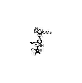 C=CCO[C@H]1CN(c2nc(-c3ncnn3C)c(C(=O)OC)s2)CC[C@H]1NC(=O)c1[nH]c(C)c(Cl)c1Cl